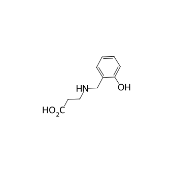 O=C(O)CCNCc1ccccc1O